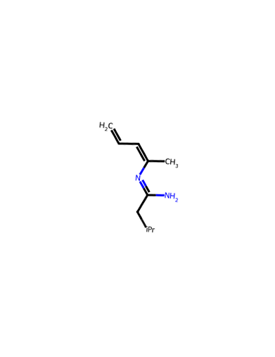 C=C/C=C(C)\N=C(/N)CC(C)C